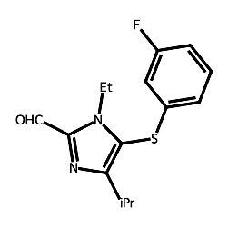 CCn1c(C=O)nc(C(C)C)c1Sc1cccc(F)c1